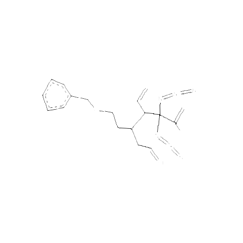 C=CCC(CCOCc1ccccc1)C(C=O)C(N=[N+]=[N-])(N=[N+]=[N-])C(=O)O